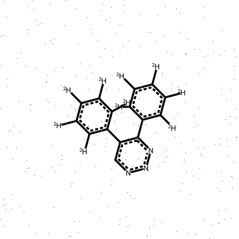 [2H]c1c([2H])c([2H])c(-c2cnnnc2-c2c([2H])c([2H])c([2H])c([2H])c2[2H])c([2H])c1[2H]